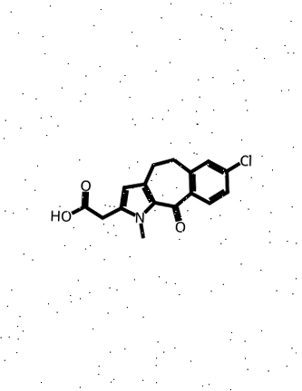 Cn1c(CC(=O)O)cc2c1C(=O)c1ccc(Cl)cc1CC2